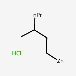 CCCC(C)C[CH2][Zn].Cl